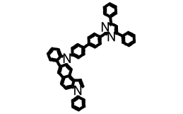 c1ccc(-c2cc(-c3ccccc3)nc(-c3ccc(-c4ccc(-n5c6ccccc6c6cc7ccc8c(ccn8-c8ccccc8)c7cc65)cc4)cc3)n2)cc1